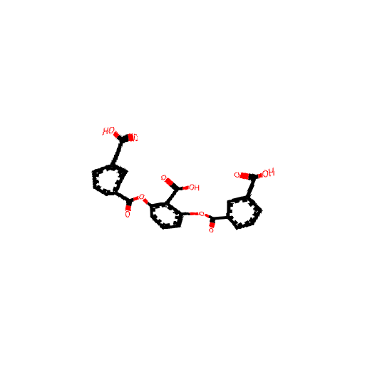 O=C(O)c1cccc(C(=O)Oc2cccc(OC(=O)c3cccc(C(=O)O)c3)c2C(=O)O)c1